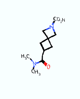 CN(C)C(=O)C1CC2(C1)CN(C(=O)O)C2